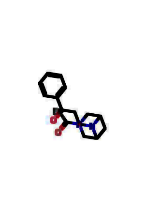 CCC(=O)N1CC2CC(C1)N2CCC(=O)c1ccccc1